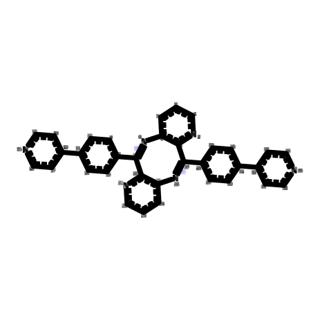 c1cnc2c(c1)/N=C(/c1ccc(-c3ccncc3)cc1)c1ncccc1/N=C\2c1ccc(-c2ccncc2)cc1